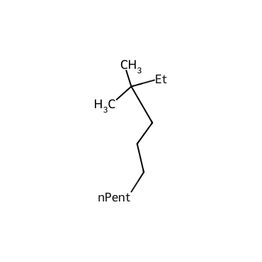 [CH2]CC(C)(C)CCCCCCCC